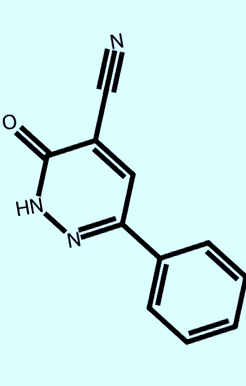 N#Cc1cc(-c2ccccc2)n[nH]c1=O